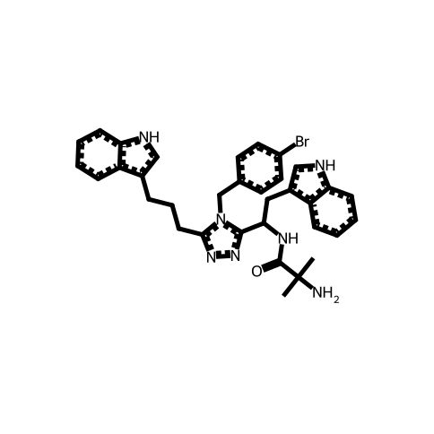 CC(C)(N)C(=O)NC(Cc1c[nH]c2ccccc12)c1nnc(CCCc2c[nH]c3ccccc23)n1Cc1ccc(Br)cc1